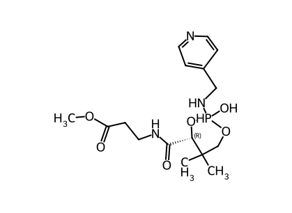 COC(=O)CCNC(=O)[C@@H]1O[PH](O)(NCc2ccncc2)OCC1(C)C